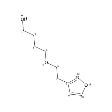 OCCCCOCCc1ccon1